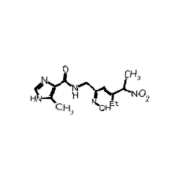 CCC(=CC(CNC(=O)c1nc[nH]c1C)=NO)C(C)[N+](=O)[O-]